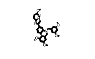 COc1cc(CN(Cc2cc(OC)cc(OC)c2)c2cc(-c3cn4nc(OC)ccc4n3)ccc2C)cc(OC)c1